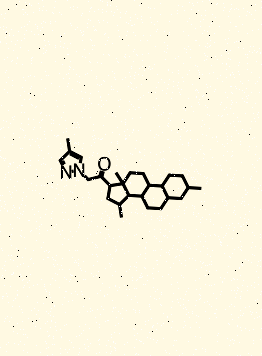 Cc1cnn(CC(=O)C2CC(C)C3C4CCC5CC(C)CCC5C4CCC23C)c1